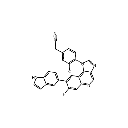 N#CCc1ccc(-n2cnc3cnc4cc(F)c(-c5ccc6[nH]ccc6c5)cc4c32)c(Cl)c1